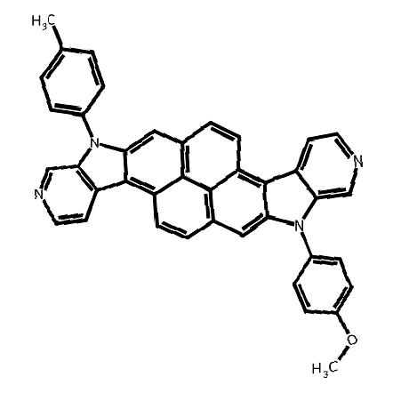 COc1ccc(-n2c3cnccc3c3c4ccc5cc6c(c7ccc(cc32)c4c57)c2ccncc2n6-c2ccc(C)cc2)cc1